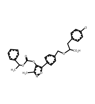 Cc1noc(-c2ccc(COC(Cc3ccc(Cl)cc3)C(=O)O)cc2)c1OC(=O)OC(C)c1ccccc1